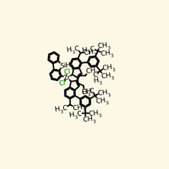 CCCC1=Cc2c(ccc(C(C)C)c2-c2cc(C(C)(C)C)cc(C(C)(C)C)c2)[CH]1[Zr]([Cl])([Cl])([c]1cccc2c1[SiH2]c1ccccc1-2)[CH]1C(CCC)=Cc2c1ccc(C(C)C)c2-c1cc(C(C)(C)C)cc(C(C)(C)C)c1